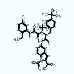 CC(C)(C)c1ccc(C[C@@H](C(=O)Nc2ccc3c(c2)cc(C(=O)O)n3C(=O)O)N(C(=O)C(=O)Nc2cc(Cl)ccc2CN)C(C)(C)C)cc1